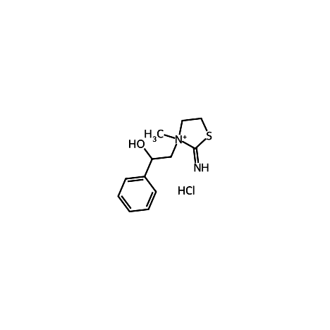 C[N+]1(CC(O)c2ccccc2)CCSC1=N.Cl